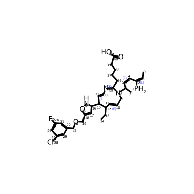 C/C=C(P)\C=C/C(C)N1C/C=C/C(CC)C(C2C=C(COCc3cc(F)cc(Cl)c3)ON2)/C=C/N=C\1CCCCC(=O)O